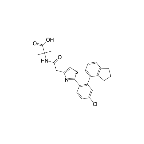 CC(C)(NC(=O)Cc1csc(-c2ccc(Cl)cc2-c2cccc3c2CCC3)n1)C(=O)O